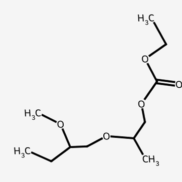 CCOC(=O)OCC(C)OCC(CC)OC